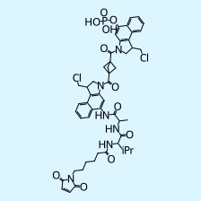 CC(NC(=O)C(NC(=O)CCCCCN1C(=O)C=CC1=O)C(C)C)C(=O)Nc1cc2c(c3ccccc13)C(CCl)CN2C(=O)C12CC(C(=O)N3CC(CCl)c4c3cc(OP(=O)(O)O)c3ccccc43)(C1)C2